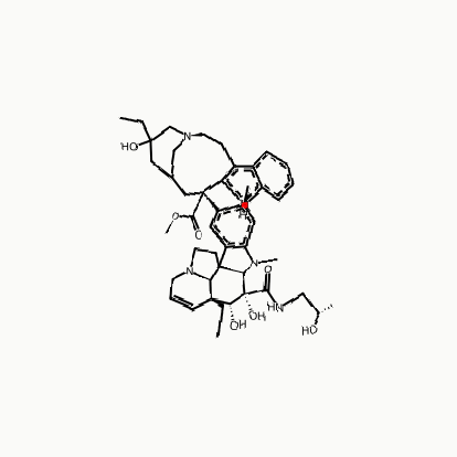 CCC1(O)CC2C[N@](CCc3c([nH]c4ccccc34)[C@@](C(=O)OC)(c3cc4c(cc3C)N(C)C3C45CCN4CC=C[C@](CC)(C45)[C@@H](O)[C@]3(O)C(=O)NC[C@H](C)O)C2)C1